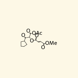 COC(=O)C=CC(=O)OC(C(=O)OC(C)=O)C(=O)C1CCCC1